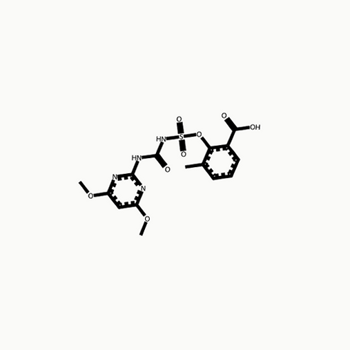 COc1cc(OC)nc(NC(=O)NS(=O)(=O)Oc2c(C)cccc2C(=O)O)n1